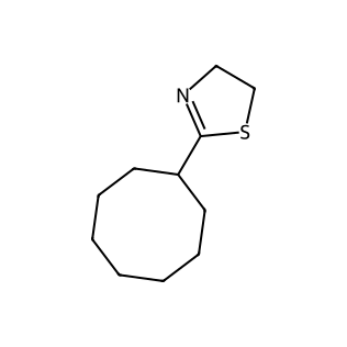 C1CCCC(C2=NCCS2)CCC1